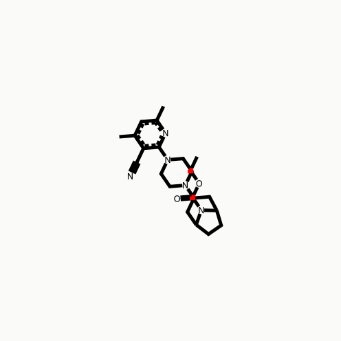 CCOC(=O)N1C2CCC1CC(N1CCN(c3nc(C)cc(C)c3C#N)CC1)C2